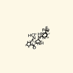 Cl.N#CC1CCCN1C(=O)[C@@H]1C[C@H](Nc2nccc(C(F)(F)F)n2)CN1